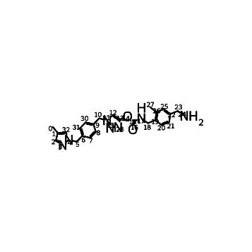 Cc1cnn(Cc2ccc(Cn3cc(OC(=O)NCc4ccc(CN)cc4C)nn3)cc2)c1